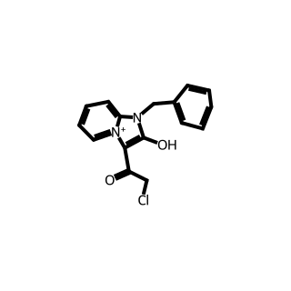 O=C(CCl)c1c(O)n(Cc2ccccc2)c2cccc[n+]12